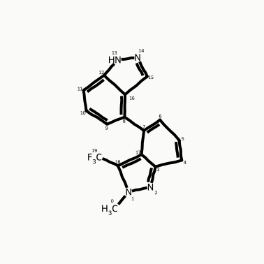 Cn1nc2cccc(-c3cccc4[nH]ncc34)c2c1C(F)(F)F